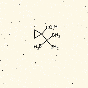 BC(B)(B)C1(C(=O)O)CC1